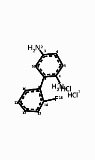 Cl.Cl.Nc1ccc(N)c(-c2ccccc2F)c1